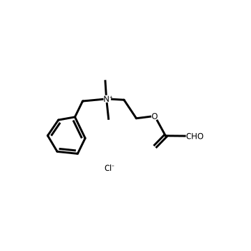 C=C(C=O)OCC[N+](C)(C)Cc1ccccc1.[Cl-]